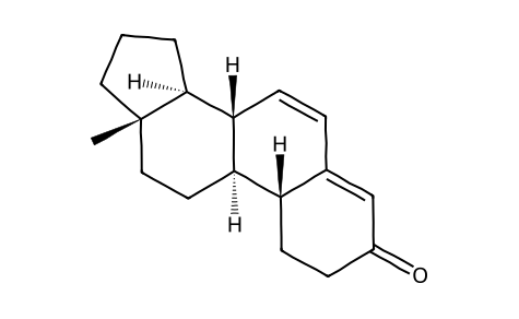 C[C@@]12CCC[C@H]1[C@@H]1C=CC3=CC(=O)CC[C@@H]3[C@H]1CC2